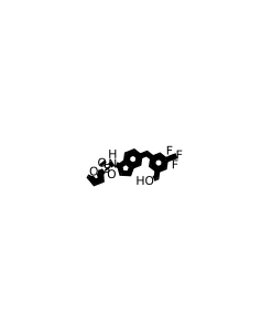 O=S(=O)(NC1CCc2cc(Cc3cc(CO)cc(C(F)(F)F)c3)ccc21)c1ccco1